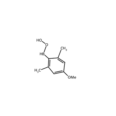 COc1cc(C)c(BOO)c(C)c1